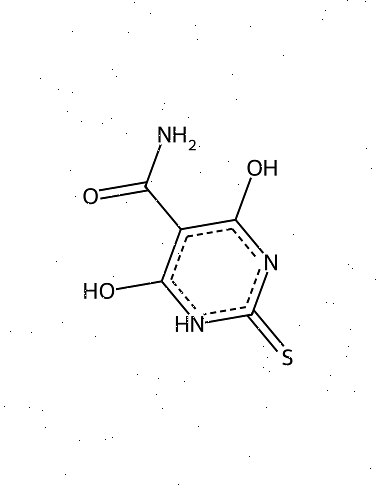 NC(=O)c1c(O)nc(=S)[nH]c1O